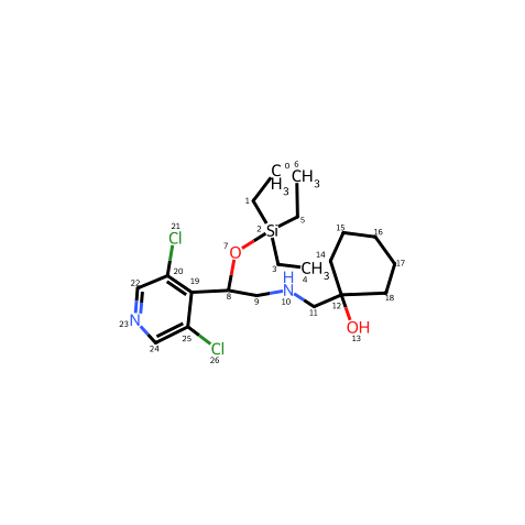 CC[Si](CC)(CC)OC(CNCC1(O)CCCCC1)c1c(Cl)cncc1Cl